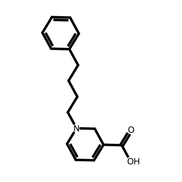 O=C(O)C1=CC=CN(CCCCc2ccccc2)C1